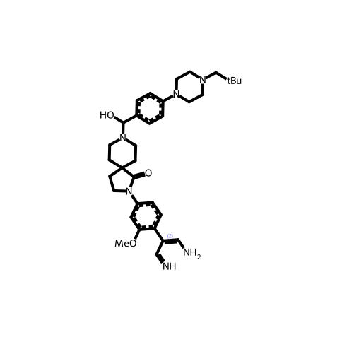 COc1cc(N2CCC3(CCN(C(O)c4ccc(N5CCN(CC(C)(C)C)CC5)cc4)CC3)C2=O)ccc1/C(C=N)=C/N